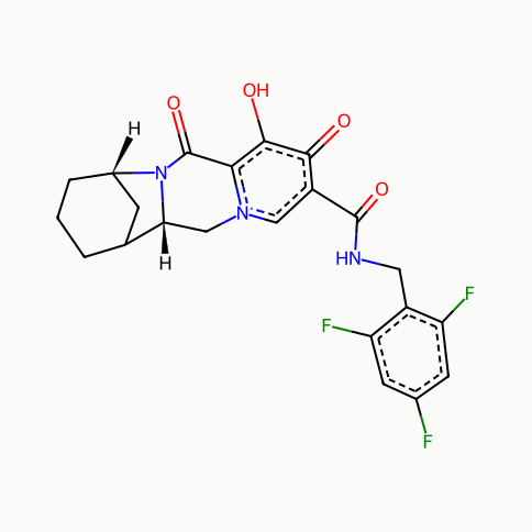 O=C(NCc1c(F)cc(F)cc1F)c1cn2c(c(O)c1=O)C(=O)N1[C@H]3CCCC(C3)[C@H]1C2